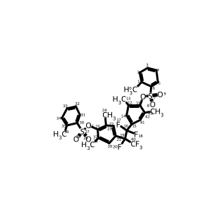 Cc1ccccc1S(=O)(=O)Oc1c(C)cc(C(F)(F)C(F)(c2cc(C)c(OS(=O)(=O)c3ccccc3C)c(C)c2)C(F)(F)F)cc1C